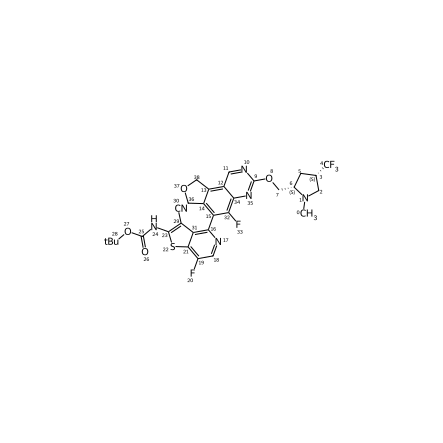 CN1C[C@@H](C(F)(F)F)C[C@H]1COc1ncc2c3c(c(-c4ncc(F)c5sc(NC(=O)OC(C)(C)C)c(C#N)c45)c(F)c2n1)COC3